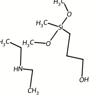 CCNCC.CO[Si](C)(CCCO)OC